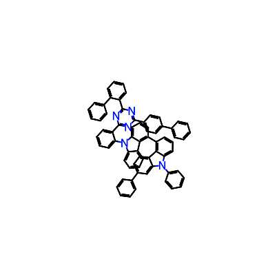 c1ccc(-c2ccc(-c3nc(-c4ccccc4-c4ccccc4)nc(-c4ccccc4-n4c5ccccc5c5c(-c6cccc7c6c6ccc(-c8ccccc8)cc6n7-c6ccccc6)cccc54)n3)cc2)cc1